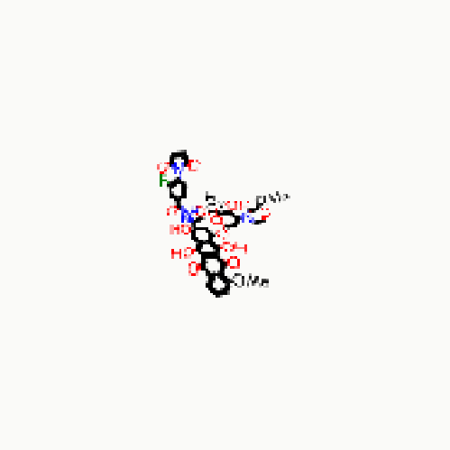 COc1cccc2c1C(=O)c1c(O)c3c(c(O)c1C2=O)C[C@@](O)(/C(CO)=N/NC(=O)c1ccc(N2C(=O)C=CC2=O)c(F)c1)C[C@@H]3O[C@H]1CC(N2CCO[C@H](OC)C2)[C@H](O)[C@H](C)O1